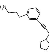 NCCCc1cccc(C#CCC2CCCC2)c1